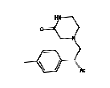 CC(=O)[C@@H](CN1CCNC(=O)C1)c1ccc(C)cc1